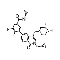 Cc1c(F)cc(C(=O)NC2CC2)cc1-c1ccc2c(=O)n(CC3CC3)cc(CN3CCN[C@@H](C)C3)c2c1